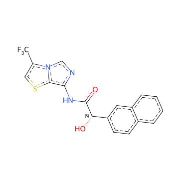 O=C(Nc1ncn2c(C(F)(F)F)csc12)[C@@H](O)c1ccc2ccccc2c1